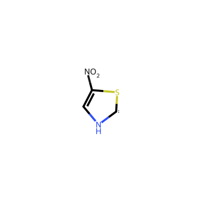 O=[N+]([O-])C1=CN[C]S1